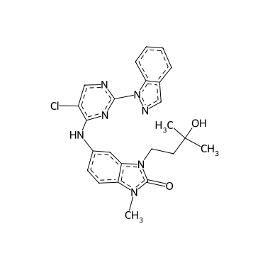 Cn1c(=O)n(CCC(C)(C)O)c2cc(Nc3nc(-n4ncc5ccccc54)ncc3Cl)ccc21